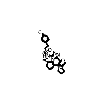 CO[C@H]1CC=CC(CN2CCCC2)=C1n1c(NS(=O)(=O)CCc2ccc(Cl)cc2)nnc1-c1ccco1